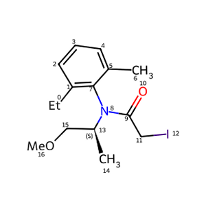 CCc1cccc(C)c1N(C(=O)CI)[C@@H](C)COC